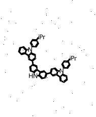 CC(C)c1ccc(-n2c3ccccc3c3cc(-c4ccc5[nH]c6ccc(-c7ccc8c(c7)c7ccccc7n8-c7ccc(C(C)C)cc7)cc6c5c4)ccc32)cc1